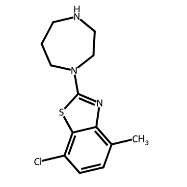 Cc1ccc(Cl)c2sc(N3CCCNCC3)nc12